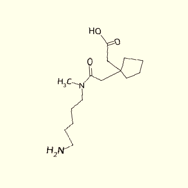 CN(CCCCCN)C(=O)CC1(CC(=O)O)CCCC1